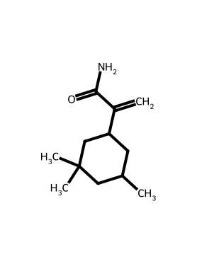 C=C(C(N)=O)C1CC(C)CC(C)(C)C1